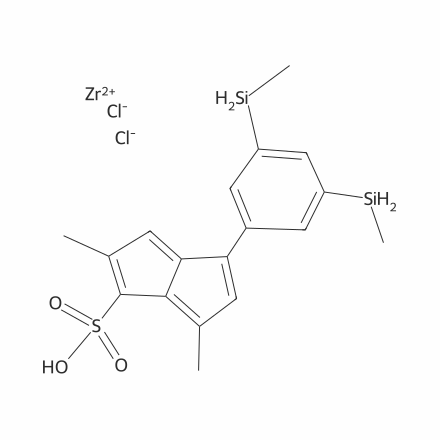 C[SiH2]c1cc([SiH2]C)cc(C2=CC(C)=C3C2=CC(C)=C3S(=O)(=O)O)c1.[Cl-].[Cl-].[Zr+2]